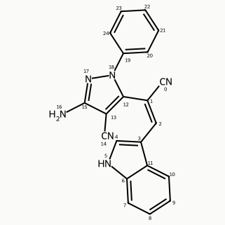 N#C/C(=C/c1c[nH]c2ccccc12)c1c(C#N)c(N)nn1-c1ccccc1